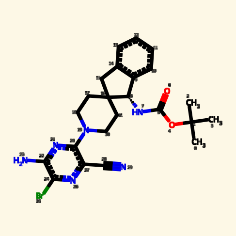 CC(C)(C)OC(=O)N[C@H]1c2ccccc2CC12CCN(c1nc(N)c(Br)nc1C#N)CC2